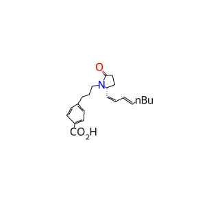 CCCC/C=C/C=C\[C@H]1CCC(=O)N1CCCc1ccc(C(=O)O)cc1